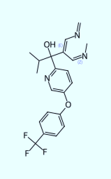 C=N/C=C(\C=N/C)C(O)(c1ccc(Oc2ccc(C(F)(F)F)cc2)cn1)C(C)C